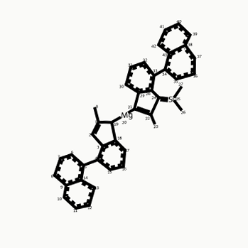 CC1=Cc2c(-c3cccc4ccccc34)cccc2[CH]1[Mg][C]1=C(C)C(=[Si](C)C)c2c1cccc2-c1cccc2ccccc12